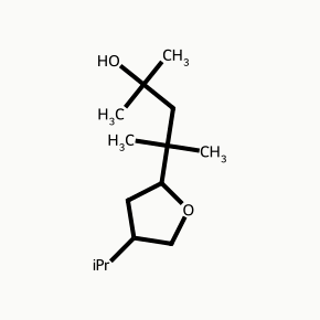 CC(C)C1COC(C(C)(C)CC(C)(C)O)C1